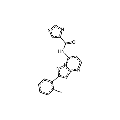 Cc1ccccc1-c1cc2nccc(NC(=O)c3cscn3)n2n1